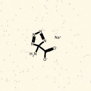 NC1(C(=O)[O-])N=NN=N1.[Na+]